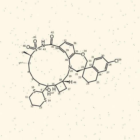 C[C@@H]1[C@@H](C)CCC[C@](O)(C2SCCCS2)[C@@H]2CC[C@H]2CN2C[C@@]3(CCCc4cc(Cl)ccc43)COc3ccc(cc32)C(=O)NS1(=O)=O